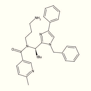 Cc1ccc(C(=O)N(CCCN)[C@@H](c2nc(-c3ccccc3)cn2Cc2ccccc2)C(C)(C)C)cn1